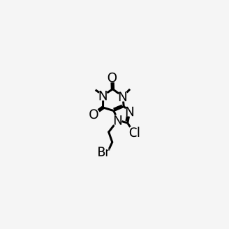 Cn1c(=O)c2c(nc(Cl)n2CCBr)n(C)c1=O